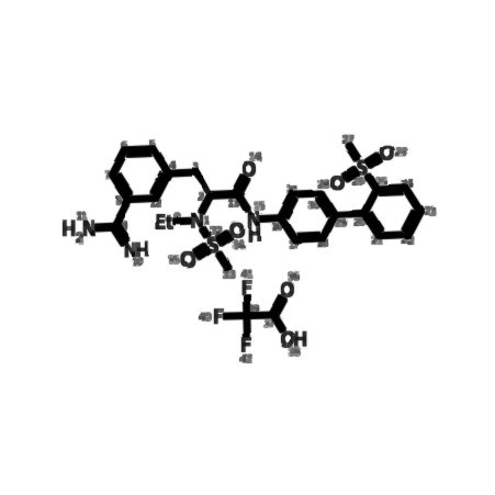 CCN([C@@H](Cc1cccc(C(=N)N)c1)C(=O)Nc1ccc(-c2ccccc2S(C)(=O)=O)cc1)S(C)(=O)=O.O=C(O)C(F)(F)F